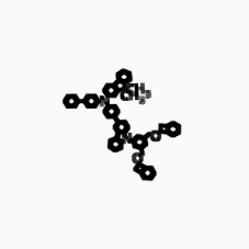 CC1(C)c2ccccc2-c2ccc(N(c3ccc(-c4ccccc4)cc3)c3ccc(-c4ccc5c(c4)c4ccccc4n5-c4cc(COC5Cc6ccccc65)cc(COC5Cc6ccccc65)c4)cc3)cc21